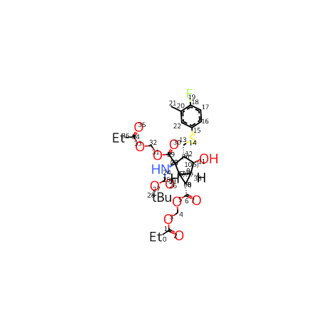 CCC(=O)OCOC(=O)[C@H]1[C@@H]2[C@H](O)[C@@H](CSc3ccc(F)c(C)c3)[C@@](NC(=O)OC(C)(C)C)(C(=O)OCOC(=O)CC)[C@H]12